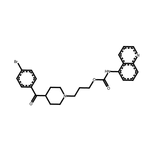 O=C(Nc1cccc2ncccc12)OCCCN1CCC(C(=O)c2ccc(Br)cc2)CC1